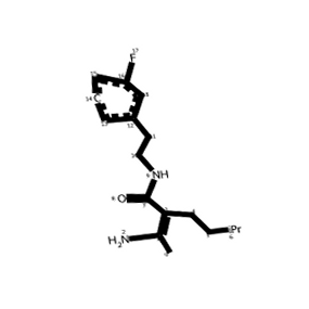 C/C(N)=C(\CCC(C)C)C(=O)NCCc1cccc(F)c1